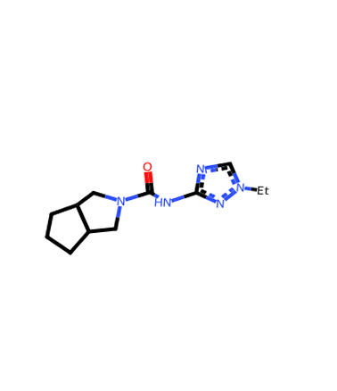 CCn1cnc(NC(=O)N2CC3CCCC3C2)n1